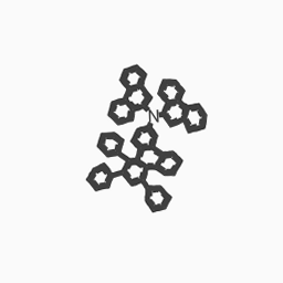 c1ccc(-c2cc(-c3ccccc3)c3c4ccccc4c4cc(N(c5cc6ccccc6c6ccccc56)c5cc6ccccc6c6ccccc56)ccc4c3c2-c2ccccc2)cc1